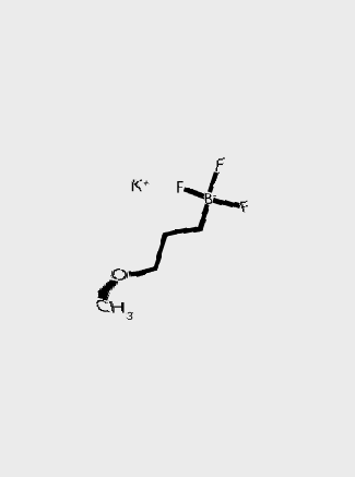 COCCC[B-](F)(F)F.[K+]